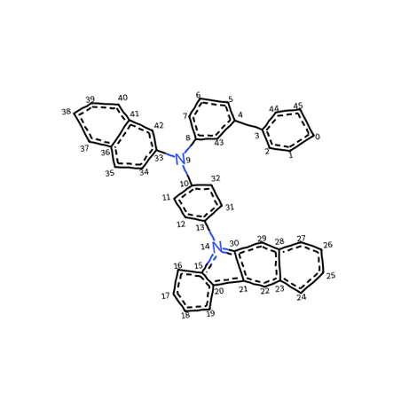 c1ccc(-c2cccc(N(c3ccc(-n4c5ccccc5c5cc6ccccc6cc54)cc3)c3ccc4ccccc4c3)c2)cc1